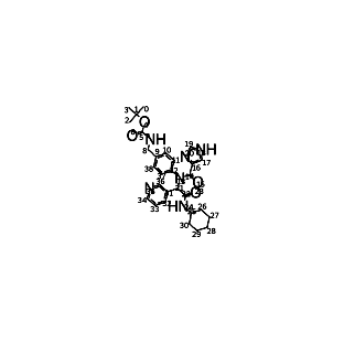 CC(C)(C)OC(=O)NCc1ccc(N(C(=O)c2c[nH]cn2)C(C(=O)NC2CCCCC2)c2cccnc2)cc1